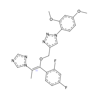 COc1ccc(-n2cc(CO/C(=C(/C)n3cncn3)c3ccc(F)cc3F)nn2)c(OC)c1